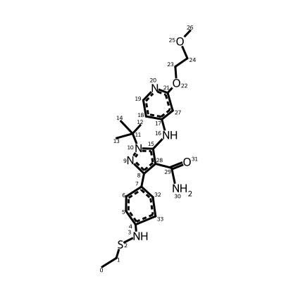 CCSNc1ccc(-c2nn(C(C)(C)C)c(Nc3ccnc(OCCOC)c3)c2C(N)=O)cc1